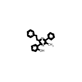 Cc1nc(-c2ccccc2O)c(CCc2ccccc2)nc1-c1ccccc1